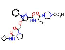 CC[C@H](NC(=O)c1cc(OCC(=O)N2CCC[C@H]2C(=O)NC2CCC2)n(-c2ccccc2)n1)C(=O)N1CCN(C(=O)O)CC1